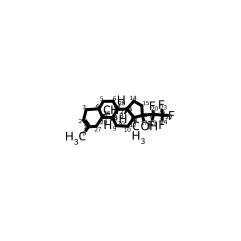 CC1=CCC2CC[C@@H]3[C@@H](CC[C@@]4(C)[C@H]3CCC4(O)C(F)(F)C(F)(F)F)[C@@]2(C)C1